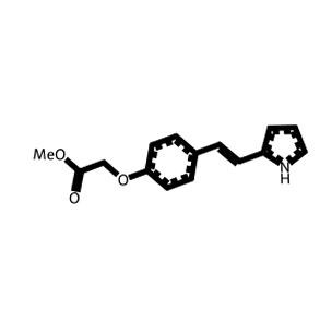 COC(=O)COc1ccc(C=Cc2ccc[nH]2)cc1